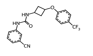 N#Cc1cccc(NC(=O)NC2CC(Oc3ccc(C(F)(F)F)cc3)C2)c1